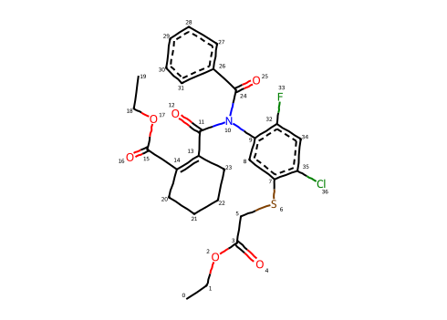 CCOC(=O)CSc1cc(N(C(=O)C2=C(C(=O)OCC)CCCC2)C(=O)c2ccccc2)c(F)cc1Cl